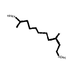 [CH2]C(CCCCCCCCCCCC)CCCCCCC(C)CCCCCC